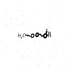 CCCCCCC[C@H]1CC[C@H](c2ccc(CCc3ccc(C#N)c(F)c3)cc2)CC1